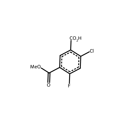 COC(=O)c1cc(C(=O)O)c(Cl)cc1F